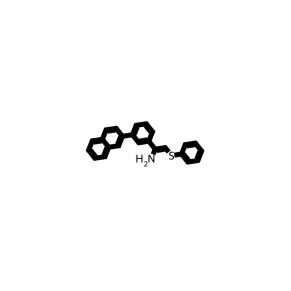 N/C(=C\Sc1ccccc1)c1cccc(-c2ccc3ccccc3c2)c1